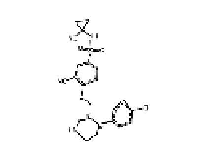 N#Cc1cc(S(=O)(=O)NC2(C#N)CC2)ccc1OC[C@H]1CNCC[C@@H]1c1ccc(Cl)cc1